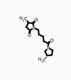 CC1CC(=O)N(CCCCC(=O)N2CC[C@H](C)C2)C1=O